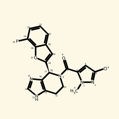 Cn1nc(Cl)cc1C(=O)N1CCc2[nH]cnc2[C@H]1c1cc2cccc(F)c2o1